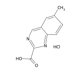 Cc1ccc2nc(C(=O)O)ncc2c1.Cl